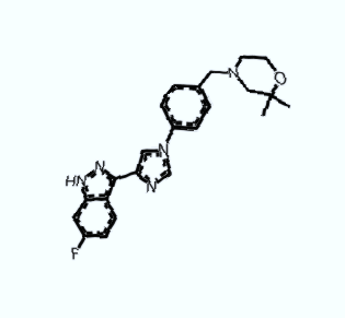 CC1(C)CN(Cc2ccc(-n3cnc(-c4n[nH]c5cc(F)ccc45)c3)cc2)CCO1